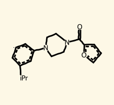 CC(C)c1c[c]cc(N2CCN(C(=O)c3ccco3)CC2)c1